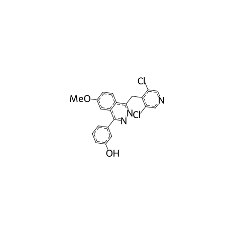 COc1ccc2c(Cc3c(Cl)cncc3Cl)nnc(-c3cccc(O)c3)c2c1